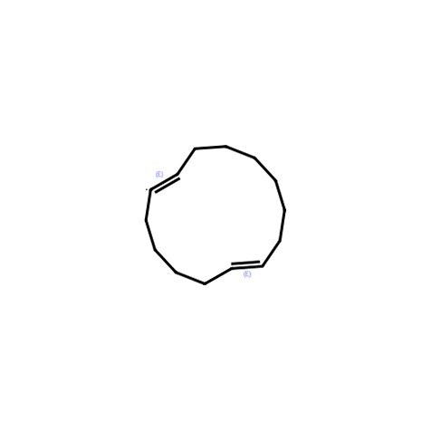 [C]1=C/CCCCCC/C=C/CCCC/1